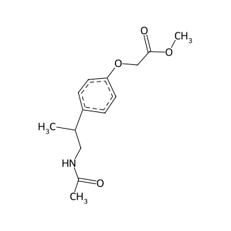 COC(=O)COc1ccc(C(C)CNC(C)=O)cc1